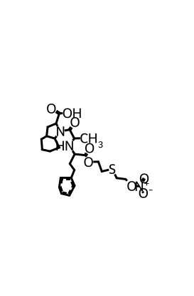 CC(NC(CCc1ccccc1)C(=O)OCCSCCO[N+](=O)[O-])C(=O)N1C(C(=O)O)CC2CCCCC21